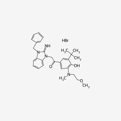 Br.COCCN(C)c1cc(C(=O)Cn2c(=N)n(Cc3ccccc3)c3ccccc32)cc(C(C)(C)C)c1O